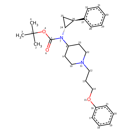 CC(C)(C)OC(=O)N(C1CCN(CCCOc2ccccc2)CC1)[C@@H]1C[C@H]1c1ccccc1